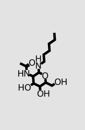 CCCCCCNC1OC(CO)C(O)C(O)C1NC(C)=O